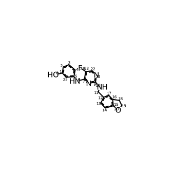 Oc1cccc(Nc2nc(NCc3ccc4c(c3)CCO4)ncc2F)c1